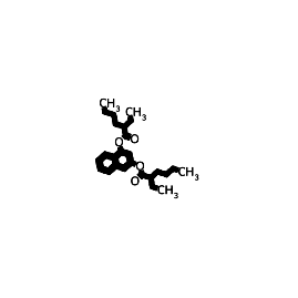 CCCCC(CC)C(=O)Oc1cc(OC(=O)C(CC)CCCC)c2ccccc2c1